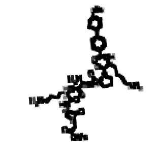 CCCCc1ccc(-c2ccc(C(=O)N[C@@H](CCCCN)C(=O)N3CCC[C@H]3C(=O)N[C@@H](N)C(=O)N[C@@H](CCCCN)C(=O)N[C@@H]3CN(CC(=O)OC)C3=O)cc2)cc1